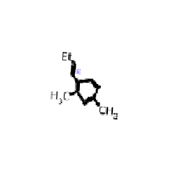 CC/C=C/c1ccc(C)cc1C